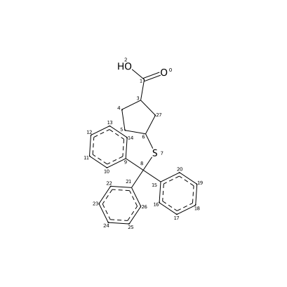 O=C(O)C1CCC(SC(c2ccccc2)(c2ccccc2)c2ccccc2)C1